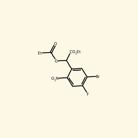 CCOC(=O)C(OC(=O)CC)c1cc(Br)c(F)cc1[N+](=O)[O-]